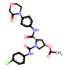 CC(=O)O[C@@H]1C[C@H](C(=O)Nc2ccc(N3CCOCC3=O)cc2)N(C(=O)Nc2ccc(Cl)cc2)C1